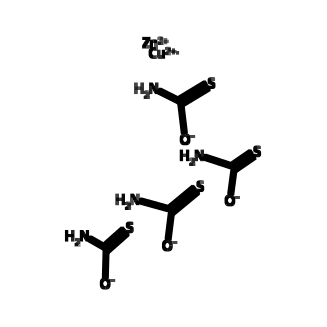 NC([O-])=S.NC([O-])=S.NC([O-])=S.NC([O-])=S.[Cu+2].[Zn+2]